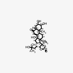 CC(C)(O)CC[C@H]1O[PH](=O)O[C@]1(C)[C@H]1CC[C@@]2(O)C3=CC(=O)[C@@H]4C[C@@H](O)[C@@H](O)C[C@]4(C)C3CC[C@]12C